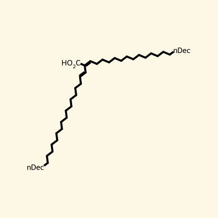 CCCCCCCCCCCCCCCCCCCCCCCC=C(C=CCCCCCCCCCCCCCCCCCCCCCCCCC)C(=O)O